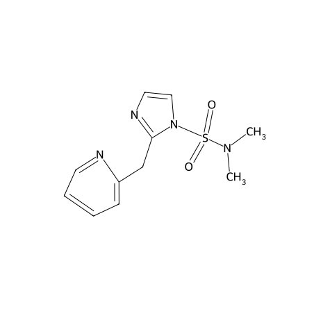 CN(C)S(=O)(=O)n1ccnc1Cc1ccccn1